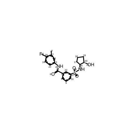 Cc1cc(NC(=O)c2cccc(S(=O)(=O)NC3CCC[C@H]3O)c2)ccc1F